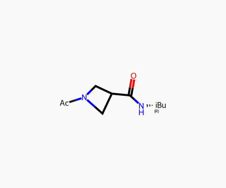 CC[C@@H](C)NC(=O)C1CN(C(C)=O)C1